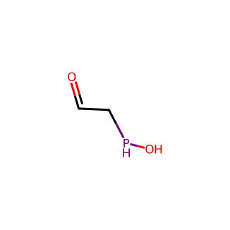 O=CCPO